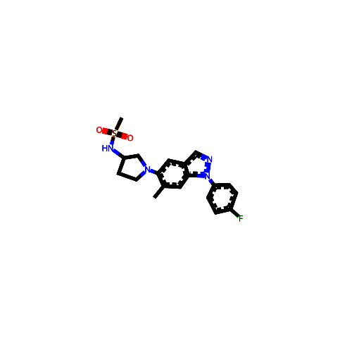 Cc1cc2c(cnn2-c2ccc(F)cc2)cc1N1CCC(NS(C)(=O)=O)C1